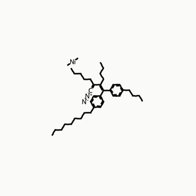 CCCCCCCCCc1ccc(C(=C(CCCC)C(=C=[N+]=[N-])CCCCC)c2ccc(CCCC)cc2)cc1.[CH3][Ni][CH3]